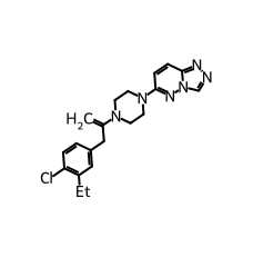 C=C(Cc1ccc(Cl)c(CC)c1)N1CCN(c2ccc3nncn3n2)CC1